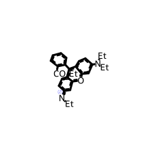 CC/N=c1/ccc2c(-c3ccccc3C(=O)OCC)c3ccc(N(CC)CC)cc3oc-2c1